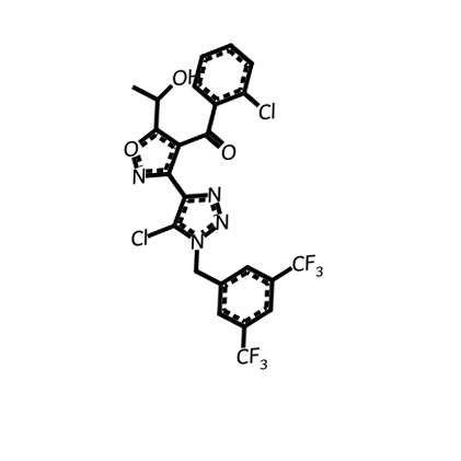 CC(O)c1onc(-c2nnn(Cc3cc(C(F)(F)F)cc(C(F)(F)F)c3)c2Cl)c1C(=O)c1ccccc1Cl